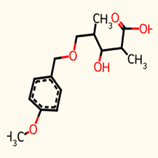 COc1ccc(COCC(C)C(O)C(C)C(=O)O)cc1